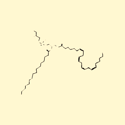 CCCCC/C=C\C/C=C\C/C=C\C/C=C\CCCCCC(=O)OC[C@H](COP(=O)(O)OC[C@@H](O)CO)OC(=O)CCCCCCCCCCCCCCC